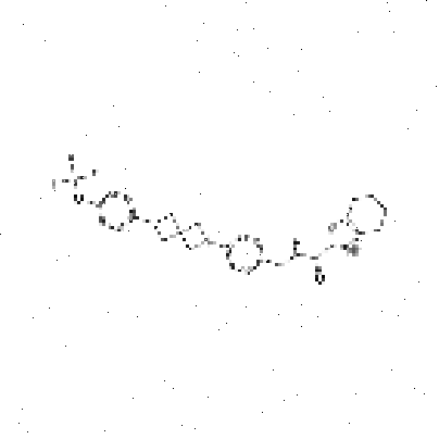 O=C(NCc1ccc(N2CC3(CC(c4ccc(OC(F)(F)F)cc4)C3)C2)cc1)c1cc2c([nH]1)CCCC2